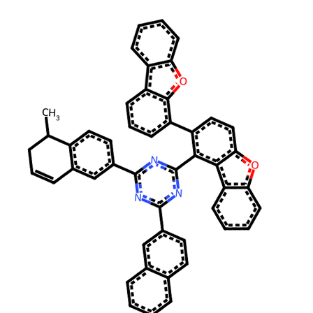 CC1CC=Cc2cc(-c3nc(-c4ccc5ccccc5c4)nc(-c4c(-c5cccc6c5oc5ccccc56)ccc5oc6ccccc6c45)n3)ccc21